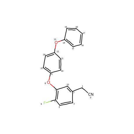 N#C[CH]c1ccc(F)c(Oc2ccc(Oc3ccccc3)cc2)c1